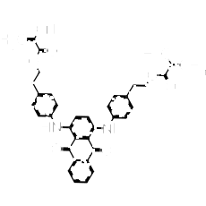 C=C(C)C(=O)OCCc1ccc(Nc2ccc(Nc3ccc(CCOC(=O)C(C)C)cc3)c3c2C(=O)c2ccccc2C3=O)cc1